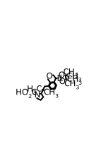 CC(C)(Cc1cccc2c1COCC2B1OC(C)(C)C(C)(C)O1)C1CCCN1C(=O)O